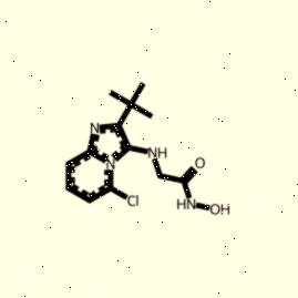 CC(C)(C)c1nc2cccc(Cl)n2c1NCC(=O)NO